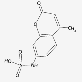 Cc1cc(=O)oc2cc(NS(=O)(=O)O)ccc12